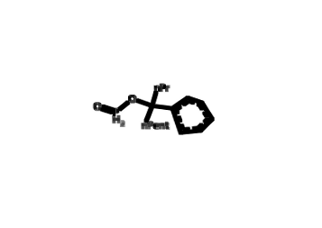 CCCCCC(CCC)(O[PH2]=O)c1ccccc1